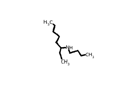 CCCCCC(CC)NCCCC